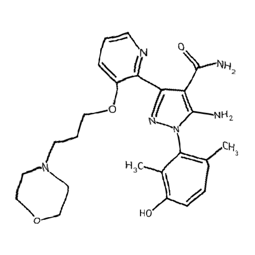 Cc1ccc(O)c(C)c1-n1nc(-c2ncccc2OCCCN2CCOCC2)c(C(N)=O)c1N